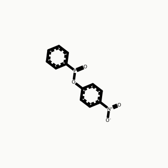 O=[N+]([O-])c1ccc(O[P](=O)c2ccccc2)cc1